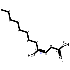 CCCCCCCC/C(O)=C\CC(=O)O